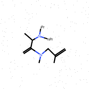 C=C(C)CN(C)C(=C)C(C)N(CCC)C(C)C